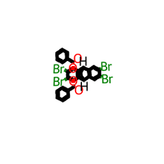 O=C(OC1C(OC(=O)c2ccccc2)[C@H]2c3cc(Br)c(Br)cc3[C@H]1c1cc(Br)c(Br)cc12)c1ccccc1